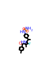 Cc1ccc(C(=O)c2[nH]c(C(C)c3ccc(NS(N)(=O)=O)cc3)c(F)c2C)cc1